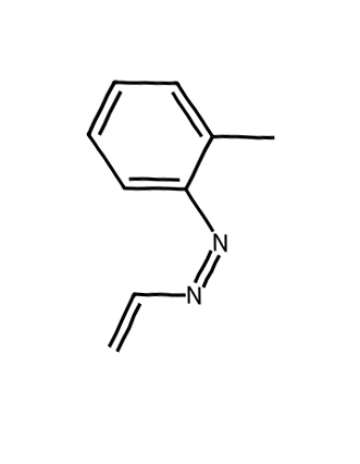 C=C/N=N\c1ccccc1C